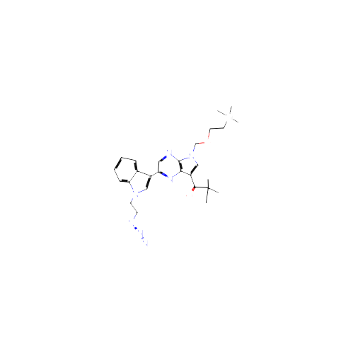 CC(C)(C)C(=O)c1cn(COCC[Si](C)(C)C)c2ncc(-c3cn(CCN=[N+]=[N-])c4ccccc34)nc12